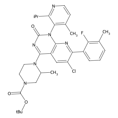 Cc1cccc(-c2nc3c(cc2Cl)c(N2CCN(C(=O)OC(C)(C)C)CC2C)nc(=O)n3-c2c(C)ccnc2C(C)C)c1F